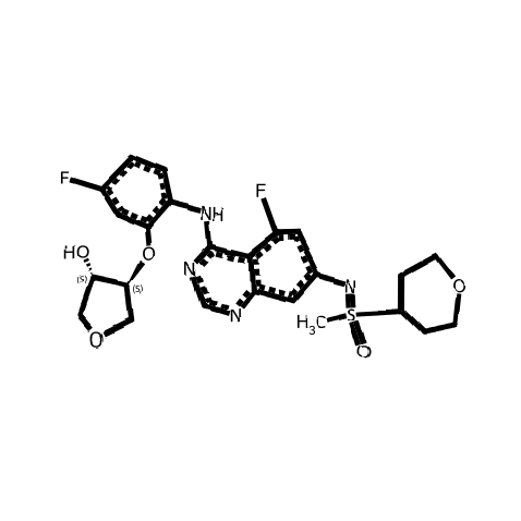 CS(=O)(=Nc1cc(F)c2c(Nc3ccc(F)cc3O[C@H]3COC[C@@H]3O)ncnc2c1)C1CCOCC1